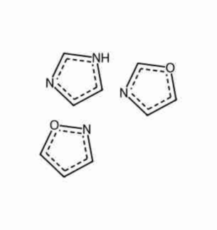 c1c[nH]cn1.c1cnoc1.c1cocn1